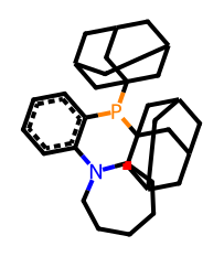 c1ccc(P(C23CC4CC(CC(C4)C2)C3)C23CC4CC(CC(C4)C2)C3)c(N2CCCCCC2)c1